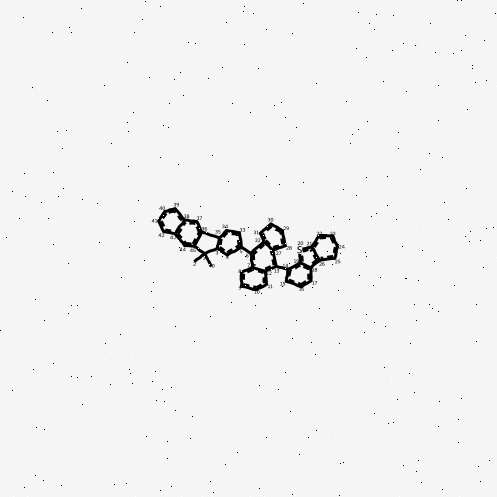 CC1(C)c2cc(-c3c4ccccc4c(-c4cccc5c4sc4ccccc45)c4ccccc34)ccc2-c2cc3ccccc3cc21